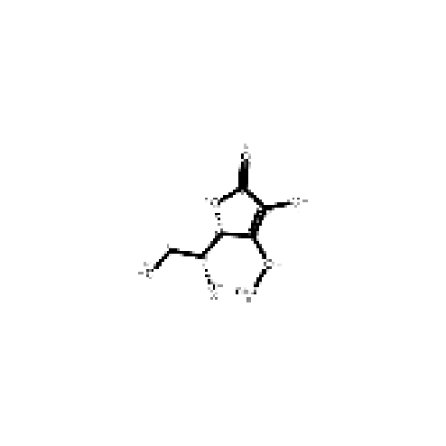 CCCCOC1=C(O)C(=O)O[C@H]1[C@H](O)CO